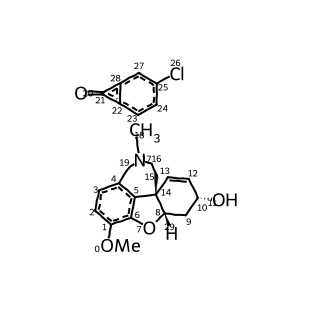 COc1ccc2c3c1O[C@H]1C[C@@H](O)C=C[C@@]31CCN(C)C2.O=c1c2ccc(Cl)cc12